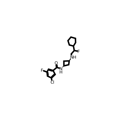 O=C(N[C@H]1C[C@H](NCC(F)C2CCCCC2)C1)c1cc(F)cc(Cl)c1